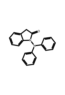 O=C1Cc2ccccc2N1N(c1ccccc1)c1ccccc1